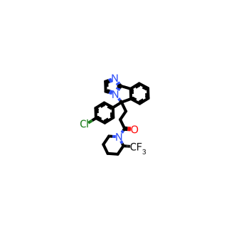 O=C(CCC1(c2ccc(Cl)cc2)c2ccccc2-c2nccn21)N1CCCCC1C(F)(F)F